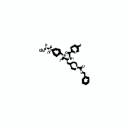 CC(C)(C)NS(=O)(=O)c1ccc(NC(=O)[C@H](CC2CCN(C(=O)OCc3ccccc3)CC2)NC(=O)c2ccc(F)cn2)cc1